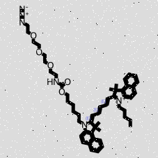 CCCCC[N+]1=C(/C=C/C=C/C=C2/N(CCCCCCOC(=O)NCCOCCOCCOCCN=[N+]=[N-])c3ccc4ccccc4c3C2(C)C)C(C)(C)c2c1ccc1ccccc21